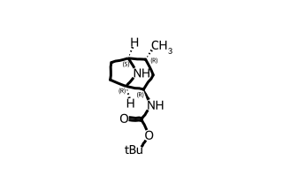 C[C@@H]1C[C@@H](NC(=O)OC(C)(C)C)[C@H]2CC[C@@H]1N2